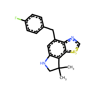 CC1(C)CNc2cc(Cc3ccc(F)cc3)c3ncsc3c21